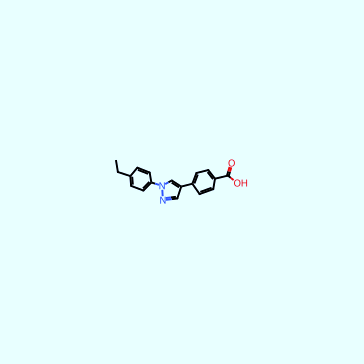 CCc1ccc(-n2cc(-c3ccc(C(=O)O)cc3)cn2)cc1